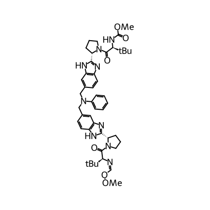 COO/C=N\[C@H](C(=O)N1CCC[C@H]1c1nc2cc(CN(Cc3ccc4nc([C@@H]5CCCN5C(=O)[C@@H](NC(=O)OC)C(C)(C)C)[nH]c4c3)c3ccccc3)ccc2[nH]1)C(C)(C)C